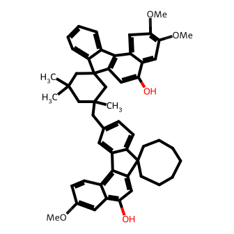 COc1ccc2c3c(cc(O)c2c1)C1(CCCCCCC1)c1ccc(CC2(C)CC(C)(C)CC4(C2)c2ccccc2-c2c4cc(O)c4cc(OC)c(OC)cc24)cc1-3